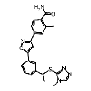 Cc1cc(-c2cc(-c3cccc(C(C)Sc4nncn4C)c3)on2)ccc1C(N)=O